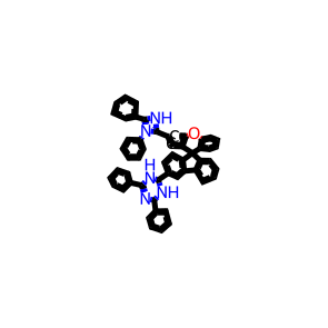 c1ccc(C2=NC(c3ccccc3)NC(c3ccc4c(c3)-c3ccccc3C43c4ccccc4Oc4cc(C5NC(c6ccccc6)=[N+]5c5ccccc5)ccc43)N2)cc1